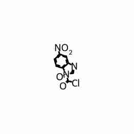 O=C(Cl)[N+]1([O-])C=Nc2cc([N+](=O)[O-])ccc21